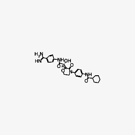 N=C(N)c1ccc(NC(=O)[C@H](O)[C@H]2OCCN(c3ccc(NC(=O)C4CCCCC4)cc3)C2=O)cc1